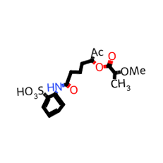 COC(C)C(=O)OC(CCCC(=O)Nc1ccccc1S(=O)(=O)O)C(C)=O